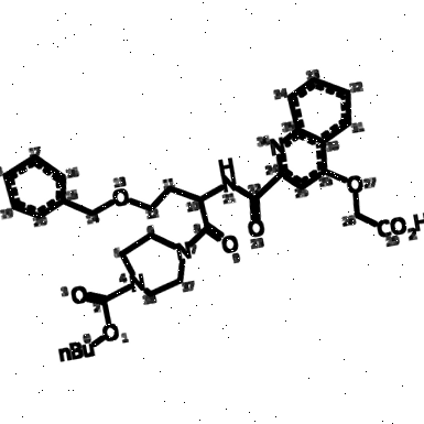 CCCCOC(=O)N1CCN(C(=O)C(CCOCc2ccccc2)NC(=O)c2cc(OCC(=O)O)c3ccccc3n2)CC1